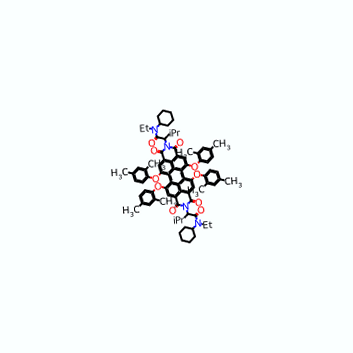 CCN(C(=O)C(C(C)C)N1C(=O)c2cc(Oc3ccc(C)cc3C)c3c4c(Oc5ccc(C)cc5C)cc5c6c(cc(Oc7ccc(C)cc7C)c(c7c(Oc8ccc(C)cc8C)cc(c2c37)C1=O)c64)C(=O)N(C(C(=O)N(CC)C1CCCCC1)C(C)C)C5=O)C1CCCCC1